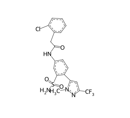 Cn1nc(C(F)(F)F)cc1-c1ccc(NC(=O)Cc2ccccc2Cl)cc1S(N)(=O)=O